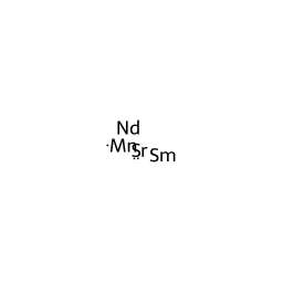 [Mn].[Nd].[Sm].[Sr]